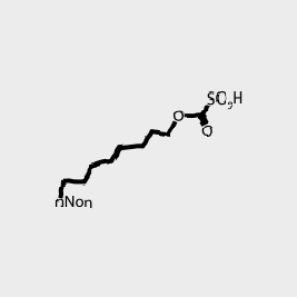 CCCCCCCCCCCCCCCCCOC(=O)S(=O)(=O)O